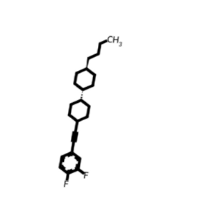 CCCC[C@H]1CC[C@H](C2CCC(C#Cc3ccc(F)c(F)c3)CC2)CC1